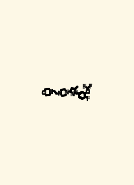 Cc1cc(N2CCN(CCN3CCOCC3)CC2)nn1-c1ccc(F)c(OC(F)F)c1